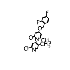 Cc1cnc(Cl)cc1-n1c(C)cc(OCc2ccc(F)cc2F)cc1=O